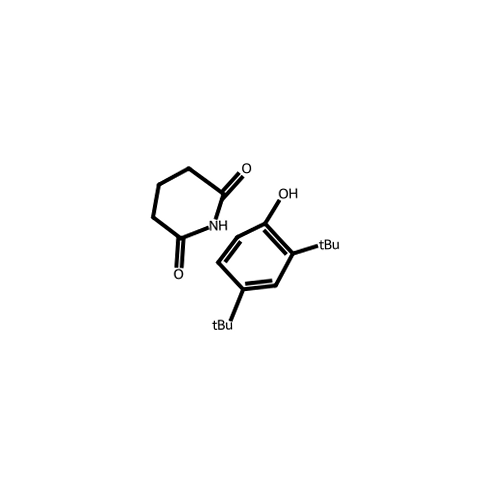 CC(C)(C)c1ccc(O)c(C(C)(C)C)c1.O=C1CCCC(=O)N1